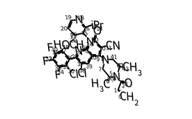 C=CC(=O)N1[C@H](C)CN(c2c(C#N)c(=O)n(C3C(C(C)C)=NC=C[C@H]3C)c3nc(-c4c(O)c(F)c(F)c(F)c4Cl)c(Cl)cc23)C[C@@H]1C